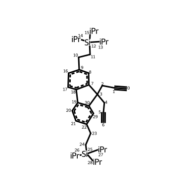 C#CCC1(CC#C)c2cc(CC[Si](C(C)C)(C(C)C)C(C)C)ccc2-c2ccc(CC[Si](C(C)C)(C(C)C)C(C)C)cc21